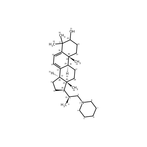 C[C@H](CN1CCCCC1)[C@H]1CC[C@H]2C3=CC=C4C(C)(C)C(O)CC[C@]4(C)[C@H]3CC[C@]12C